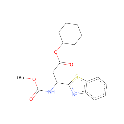 CC(C)(C)OC(=O)NC(CC(=O)OC1CCCCC1)c1nc2ccccc2s1